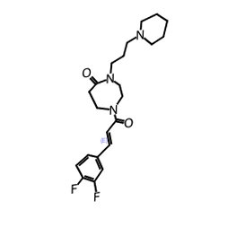 O=C(/C=C/c1ccc(F)c(F)c1)N1CCC(=O)N(CCCN2CCCCC2)CC1